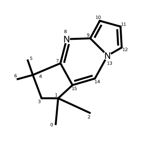 CC1(C)CC(C)(C)c2nc3cccn3cc21